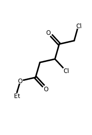 CCOC(=O)CC(Cl)C(=O)CCl